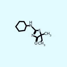 CCC1(C)SC(NC2CCCCC2)=NC1=O